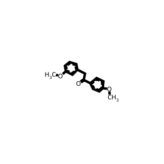 COc1ccc(C(=O)Cc2cccc(OC)c2)cc1